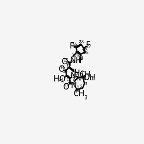 C[C@H]1CC[C@@](C)(O)[C@H]2CN1C(=O)c1c(O)c(=O)c(C(=O)NCc3c(F)cc(F)cc3F)cn12